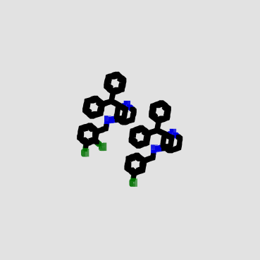 Clc1cccc(CN=C2C3CCN(CC3)C2C(c2ccccc2)c2ccccc2)c1.Clc1cccc(CN=C2C3CCN(CC3)C2C(c2ccccc2)c2ccccc2)c1Cl